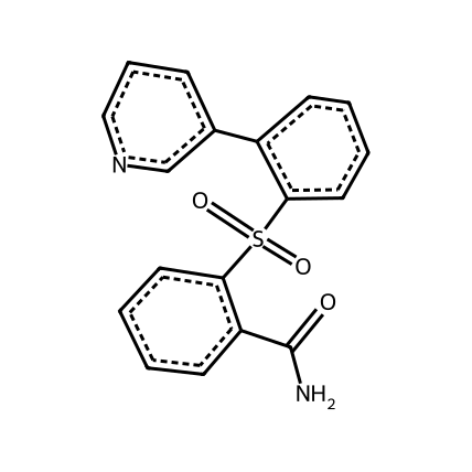 NC(=O)c1ccccc1S(=O)(=O)c1ccccc1-c1cccnc1